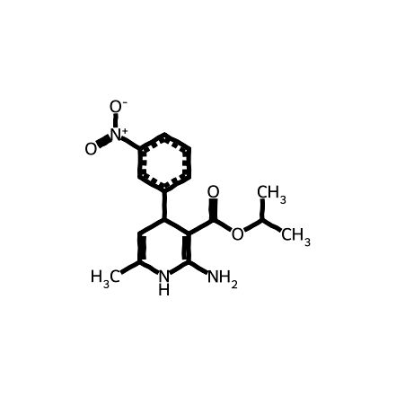 CC1=CC(c2cccc([N+](=O)[O-])c2)C(C(=O)OC(C)C)=C(N)N1